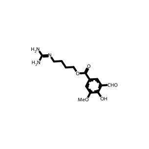 COc1cc(C(=O)OCCCCN=C(N)N)cc(C=O)c1O